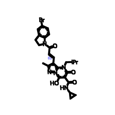 Cc1nn2c(O)c(C(=O)NC3CC3)c(=O)n(CC(C)C)c2c1/C=C/C(=O)N1CCc2cc(Br)ccc21